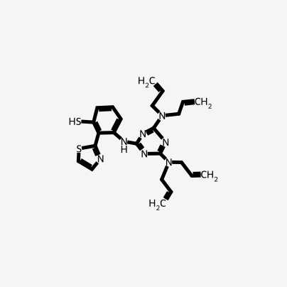 C=CCN(CC=C)c1nc(Nc2cccc(S)c2-c2nccs2)nc(N(CC=C)CC=C)n1